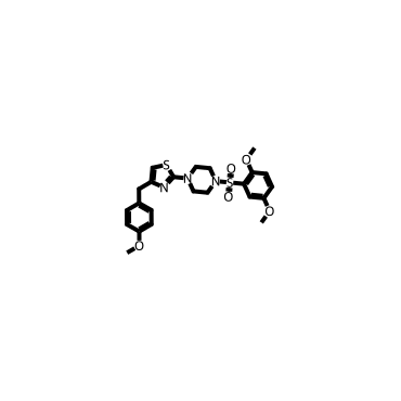 COc1ccc(Cc2csc(N3CCN(S(=O)(=O)c4cc(OC)ccc4OC)CC3)n2)cc1